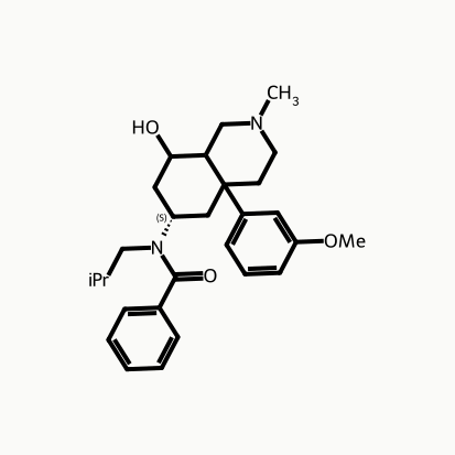 COc1cccc(C23CCN(C)CC2C(O)C[C@@H](N(CC(C)C)C(=O)c2ccccc2)C3)c1